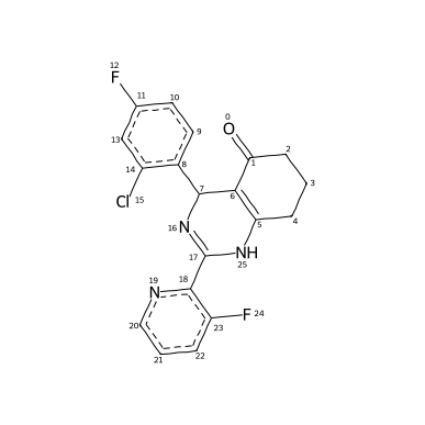 O=C1CCCC2=C1C(c1ccc(F)cc1Cl)N=C(c1ncccc1F)N2